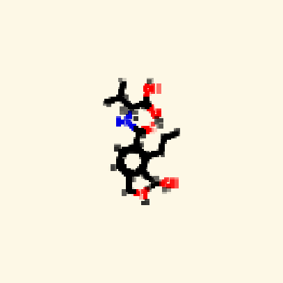 CCCc1c(C(=O)N[C@H](C(=O)O)C(C)C)ccc2c1B(O)OC2